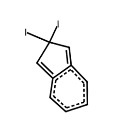 IC1(I)C=c2ccccc2=C1